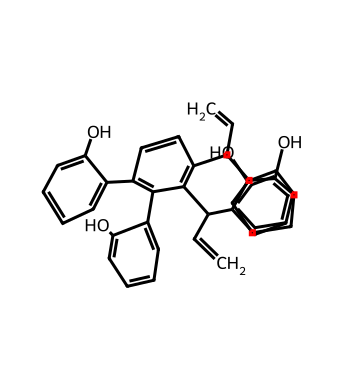 C=CC(c1ccccc1O)c1ccc(-c2ccccc2O)c(-c2ccccc2O)c1C(C=C)c1ccccc1O